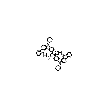 C[Si](C)(c1ccc2c(c1)c1c3c(ccc1n2-c1ccccc1)-c1ccccc1C3)c1ccc2c(c1)c1c3c(ccc1n2-c1ccccc1)-c1ccccc1C3